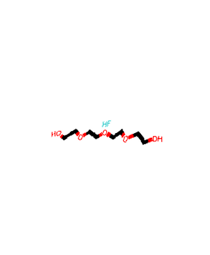 F.OCCOCCOCCOCCO